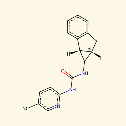 N#Cc1ccc(NC(=O)NC2[C@H]3Cc4ccccc4[C@@H]23)nc1